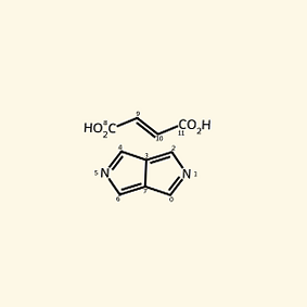 C1=NC=C2C=NC=C12.O=C(O)/C=C/C(=O)O